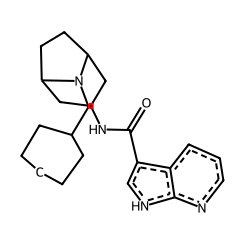 O=C(NC1CC2CCC(C1)N2CC1CCCCC1)c1c[nH]c2ncccc12